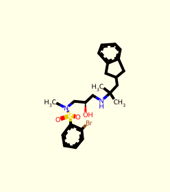 CN(C[C@H](O)CNC(C)(C)CC1Cc2ccccc2C1)S(=O)(=O)c1ccccc1Br